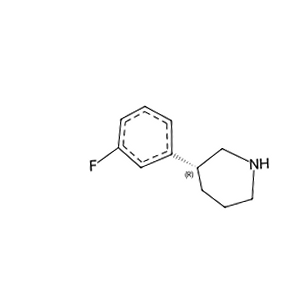 Fc1cccc([C@H]2CCCNC2)c1